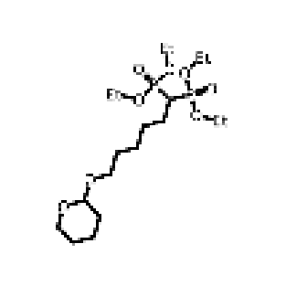 CCOP(=O)(OCC)C(CCCCCOC1CCCCO1)P(=O)(OCC)OCC